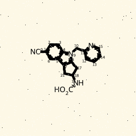 N#Cc1ccc2c(c1)c1c(n2Cc2ccccn2)CC(NC(=O)O)C1